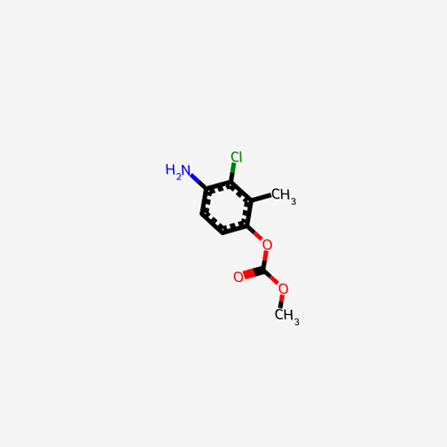 COC(=O)Oc1ccc(N)c(Cl)c1C